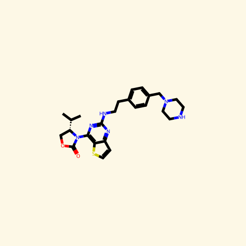 CC(C)[C@H]1COC(=O)N1c1nc(NCCc2ccc(CN3CCNCC3)cc2)nc2ccsc12